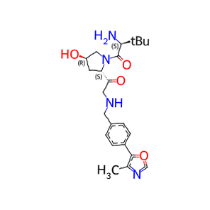 Cc1ncoc1-c1ccc(CNCC(=O)[C@@H]2C[C@@H](O)CN2C(=O)[C@@H](N)C(C)(C)C)cc1